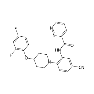 N#Cc1ccc(N2CCC(Oc3ccc(F)cc3F)CC2)c(NC(=O)c2cccnn2)c1